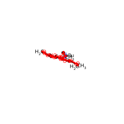 C=CC(=O)OCCCOc1ccc2cc(COc3ccc(/C=C/C(=O)Oc4ccc(OC(=O)CCc5ccc(OCCCCCCOC(=O)C(=C)C)cc5)c(/C=N/N(c5nc6ccccc6s5)C(C)CCCC)c4O)cc3O)ccc2c1